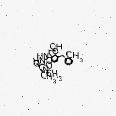 CC1=CC(=O)C(NC(=O)NC(CC(=O)O)c2cccc(Cc3ccccc3C)c2)C(=O)N1C